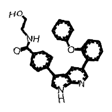 O=C(NCCO)c1ccc(-c2c[nH]c3ncc(-c4ccccc4Oc4ccccc4)cc23)cc1